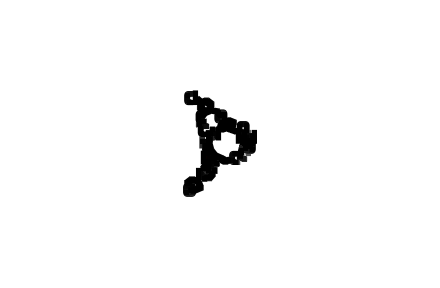 CO[C@@]1(CN2CCN(C3CCOCC3)CC2)/C=C/C[C@H](C)[C@@H](C)S(=O)(=O)NC(=O)c2ccc3c(c2)N(CCCCc2cc(Cl)ccc2CO3)C[C@@H]2CC[C@H]21